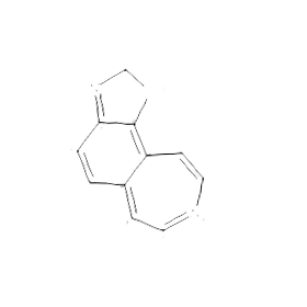 C1=Cc2c3c(ccc2=CC=N1)=NCO3